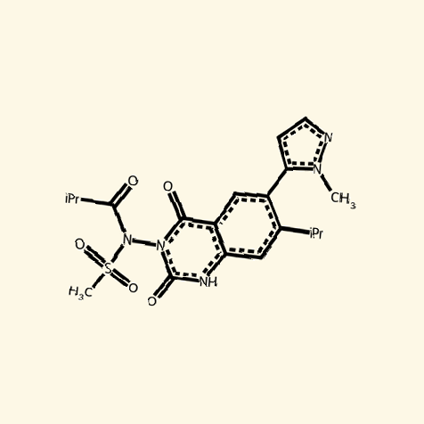 CC(C)C(=O)N(n1c(=O)[nH]c2cc(C(C)C)c(-c3ccnn3C)cc2c1=O)S(C)(=O)=O